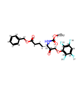 CC(C)(C)OC(=O)N[C@@H](CCCC(=O)OCc1ccccc1)C(=O)COc1c(F)c(F)cc(F)c1F